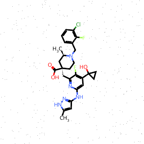 Cc1cc(Nc2cc(C3(O)CC3)c(F)c(C[C@@]3(C(=O)O)CCN(Cc4cccc(Cl)c4F)[C@H](C)C3)n2)n[nH]1